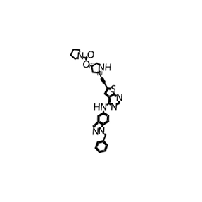 O=C(O[C@@H]1CN[C@@H](C#Cc2cc3c(Nc4ccc5c(cnn5Cc5ccccc5)c4)ncnc3s2)C1)N1CCCC1